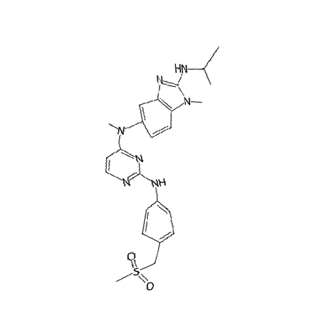 CC(C)Nc1nc2cc(N(C)c3ccnc(Nc4ccc(CS(C)(=O)=O)cc4)n3)ccc2n1C